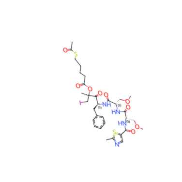 COC[C@H](NC(=O)c1cnc(C)s1)C(=O)N[C@@H](COC)C(=O)N[C@@H](Cc1ccccc1)C(=O)C(C)(CI)OC(=O)CCCCSC(C)=O